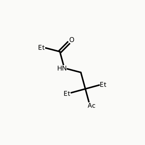 CCC(=O)NCC(CC)(CC)C(C)=O